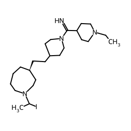 CCN1CCC(C(=N)N2CCC(CC[C@@H]3CCCCN(C(C)I)CC3)CC2)CC1